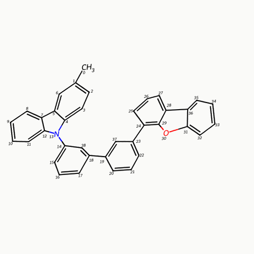 Cc1ccc2c(c1)c1ccccc1n2-c1cccc(-c2cccc(-c3cccc4c3oc3ccccc34)c2)c1